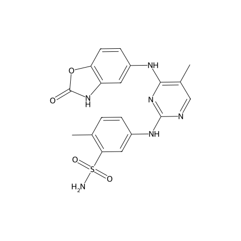 Cc1ccc(Nc2ncc(C)c(Nc3ccc4oc(=O)[nH]c4c3)n2)cc1S(N)(=O)=O